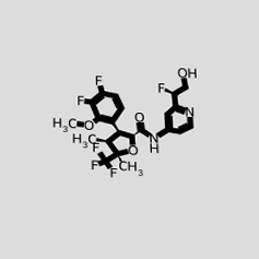 COc1c([C@H]2[C@H](C(=O)Nc3ccnc([C@@H](F)CO)c3)O[C@@](C)(C(F)(F)F)[C@H]2C)ccc(F)c1F